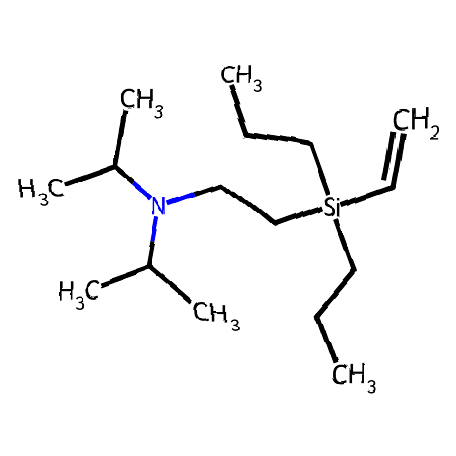 C=C[Si](CCC)(CCC)CCN(C(C)C)C(C)C